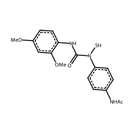 COc1ccc(NC(=O)N(S)c2ccc(NC(C)=O)cc2)c(OC)c1